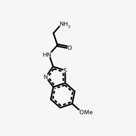 COc1ccc2nc(NC(=O)CN)sc2c1